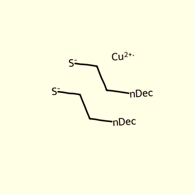 CCCCCCCCCCCC[S-].CCCCCCCCCCCC[S-].[Cu+2]